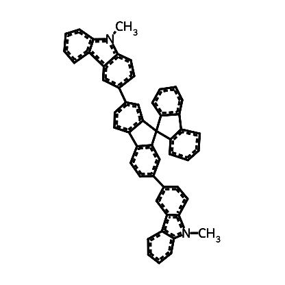 Cn1c2ccccc2c2cc(-c3ccc4c(c3)C3(c5ccccc5-c5ccccc53)c3cc(-c5ccc6c(c5)c5ccccc5n6C)ccc3-4)ccc21